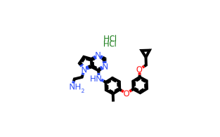 Cc1cc(Nc2ncnc3ccn(CCN)c23)ccc1Oc1cccc(OCC2CC2)c1.Cl.Cl